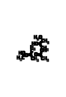 CC(=O)O.CC(C)=O.CC(C)O.CO.O